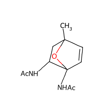 CC(=O)NC1CC2(C)C=CC1(NC(C)=O)O2